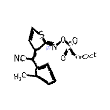 CCCCCCCCS(=O)(=O)O/N=C1\SC=CC1C(C#N)c1ccccc1C